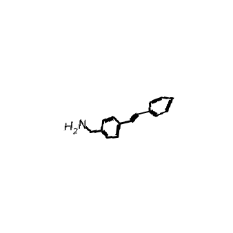 NCc1ccc(C#Cc2ccccc2)cc1